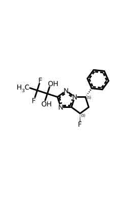 CC(F)(F)C(O)(O)c1nc2n(n1)[C@H](c1ccccc1)C[C@@H]2F